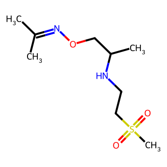 CC(C)=NOCC(C)NCCS(C)(=O)=O